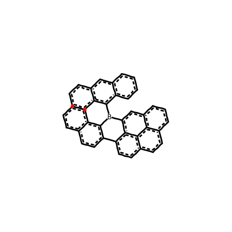 c1ccc2c3c(ccc2c1)-c1ccc2ccc4cccc5cc(c1c2c45)B3c1c2ccccc2cc2ccccc12